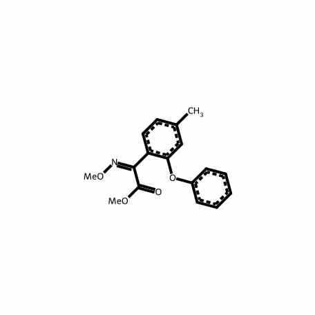 CO/N=C(\C(=O)OC)c1ccc(C)cc1Oc1ccccc1